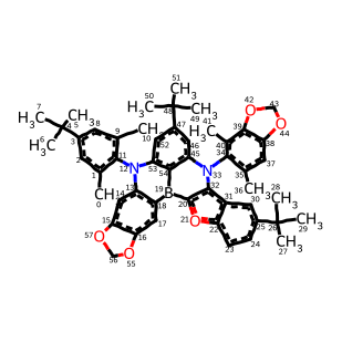 Cc1cc(C(C)(C)C)cc(C)c1N1c2cc3c(cc2B2c4oc5ccc(C(C)(C)C)cc5c4N(c4c(C)cc5c(c4C)OCO5)c4cc(C(C)(C)C)cc1c42)OCO3